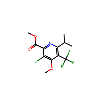 COC(=O)c1nc(C(C)C)c(C(F)(F)F)c(OC)c1Cl